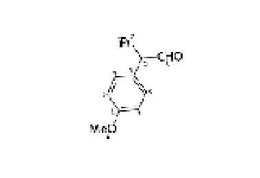 COc1ccc(C(C=O)C(C)C)cc1